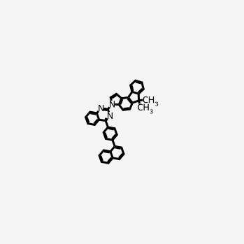 CC1(C)c2ccccc2-c2c1ccc1c2ccn1-c1nc(-c2ccc(-c3cccc4ccccc34)cc2)c2ccccc2n1